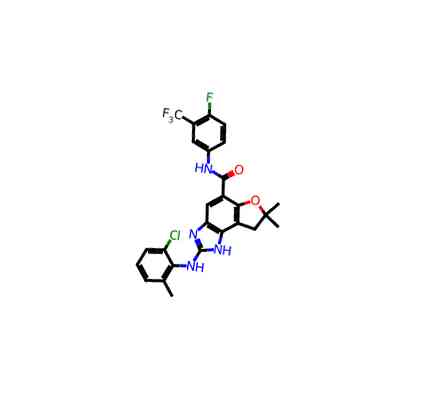 Cc1cccc(Cl)c1Nc1nc2cc(C(=O)Nc3ccc(F)c(C(F)(F)F)c3)c3c(c2[nH]1)CC(C)(C)O3